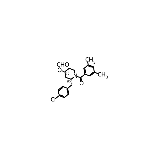 Cc1cc(C)cc(C(=O)N2CC[C@H](OC=O)C[C@H]2Cc2ccc(Cl)cc2)c1